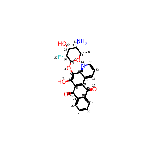 C[C@@H]1O[C@@H](Oc2c(O)c3c(c4cccnc24)C(=O)c2ccccc2C3=O)[C@H](F)[C@H](O)[C@@H]1N